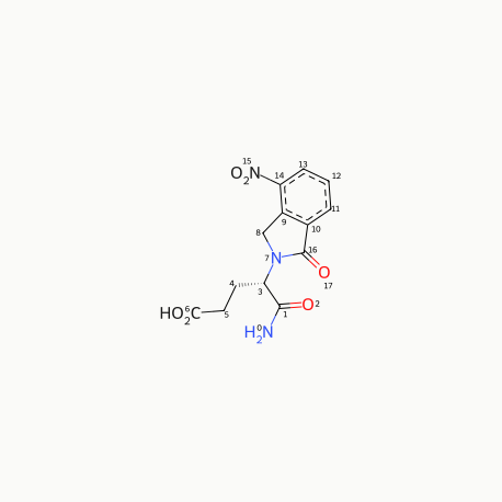 NC(=O)[C@H](CCC(=O)O)N1Cc2c(cccc2[N+](=O)[O-])C1=O